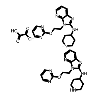 O=C(O)C(=O)O.c1cnc(OCCn2c(NC3CCNCC3)nc3cccnc32)nc1.c1cnc(OCCn2c(NC3CCNCC3)nc3cccnc32)nc1